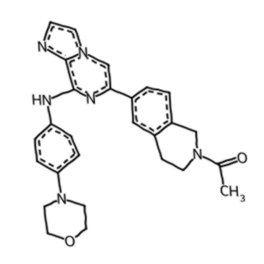 CC(=O)N1CCc2cc(-c3cn4ccnc4c(Nc4ccc(N5CCOCC5)cc4)n3)ccc2C1